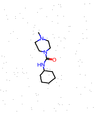 CN1CCN(C(=O)NC2CC[CH]CC2)CC1